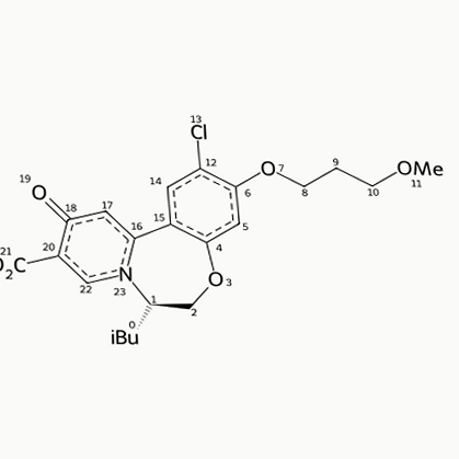 CC[C@@H](C)[C@@H]1COc2cc(OCCCOC)c(Cl)cc2-c2cc(=O)c(C(=O)O)cn21